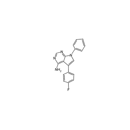 Nc1ncnc2c1c(-c1ccc(F)cc1)cn2-c1ccccc1